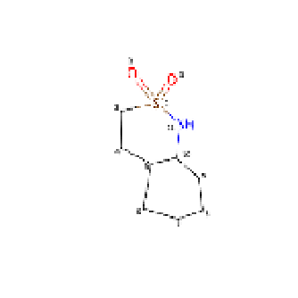 O=S1(=O)CCC2CCCCC2N1